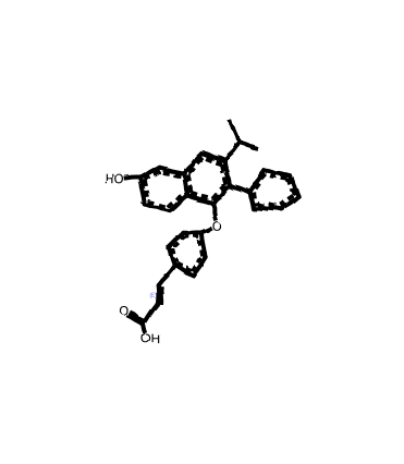 CC(C)c1cc2cc(O)ccc2c(Oc2ccc(/C=C/C(=O)O)cc2)c1-c1ccccc1